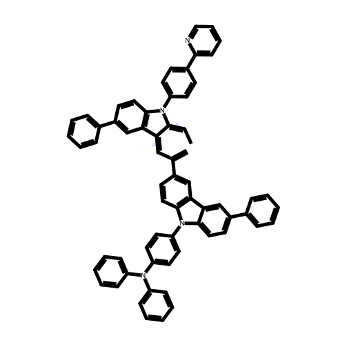 C=C(/C=c1\c(=C/C)n(-c2ccc(-c3ccccn3)cc2)c2ccc(-c3ccccc3)cc12)c1ccc2c(c1)c1cc(-c3ccccc3)ccc1n2-c1ccc(N(c2ccccc2)c2ccccc2)cc1